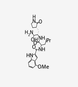 COc1cccc2[nH]c(C(=O)NC(CC(C)C)C(=O)N[C@@H](C[C@@H]3CCNC3=O)C(N)O)cc12